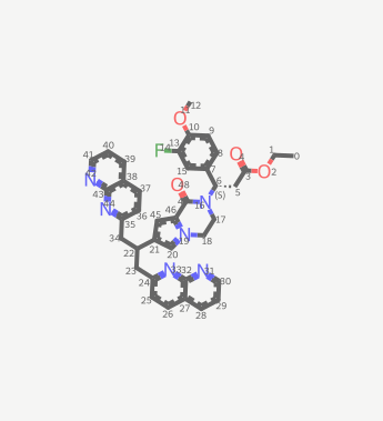 CCOC(=O)C[C@@H](c1ccc(OC)c(F)c1)N1CCn2cc(C(Cc3ccc4cccnc4n3)Cc3ccc4cccnc4n3)cc2C1=O